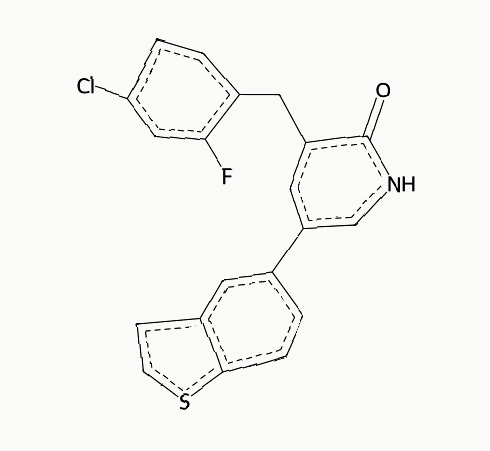 O=c1[nH]cc(-c2ccc3sccc3c2)cc1Cc1ccc(Cl)cc1F